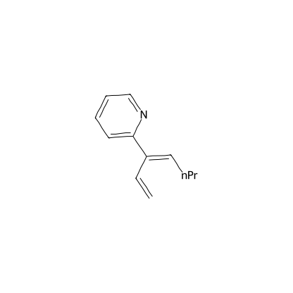 C=CC(=CCCC)c1ccccn1